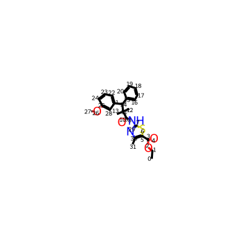 CCOC(=O)c1sc(NC(=O)C(C)(C)C(c2ccccc2)c2cccc(OC)c2)nc1C